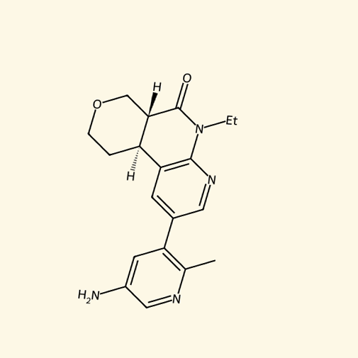 CCN1C(=O)[C@H]2COCC[C@@H]2c2cc(-c3cc(N)cnc3C)cnc21